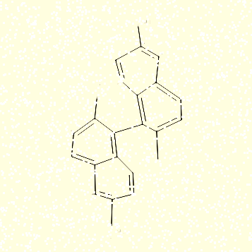 Cc1ccc2cc(C(C)(C)C)ccc2c1-c1c(O)ccc2cc(C(C)(C)C)ccc12